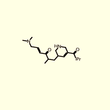 CC(C)C(=O)C1=CC(CC(C)C(=O)/C=C/CN(C)C)CNC1